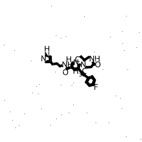 CCC1CNC(=O)CC(C)N1c1ncc(C(=O)NCCCc2cn[nH]c2)cc1C#Cc1ccc(F)cc1